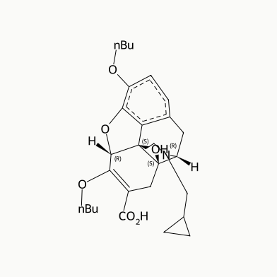 CCCCOC1=C(C(=O)O)C[C@@]2(O)[C@H]3Cc4ccc(OCCCC)c5c4[C@@]2(CCN3CC2CC2)[C@H]1O5